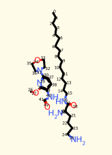 CCCCCCCCCCCCCCCCNC(=O)[C@@H](N)CCCCN.COc1nc(N2CCOCC2)ccc1NC=O